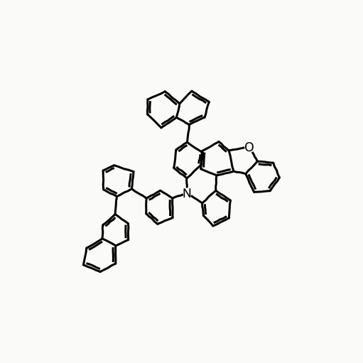 c1cc(-c2ccccc2-c2ccc3ccccc3c2)cc(N(c2ccc(-c3cccc4ccccc34)cc2)c2ccccc2-c2cccc3oc4ccccc4c23)c1